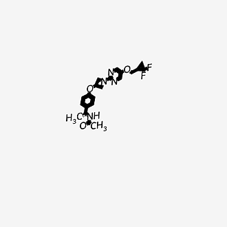 CC(=O)N[C@@H](C)c1ccc(OC2CN(c3ncc(OCC4CC4(F)F)cn3)C2)cc1